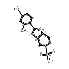 COc1cc(O)ccc1-c1nc2cc(S(C)(=O)=O)ccc2[nH]1